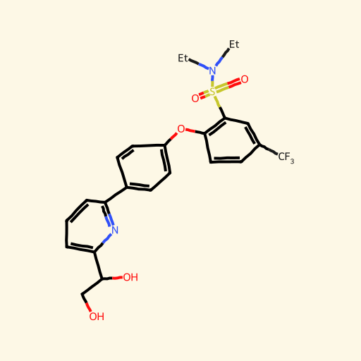 CCN(CC)S(=O)(=O)c1cc(C(F)(F)F)ccc1Oc1ccc(-c2cccc(C(O)CO)n2)cc1